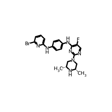 C[C@@H]1CN(c2ncc(F)c(Nc3ccc(Nc4cccc(Br)n4)cc3)n2)C[C@H](C)N1